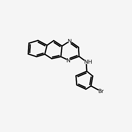 Brc1cccc(Nc2cnc3cc4ccccc4cc3n2)c1